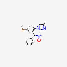 CSc1ccc2c(c1)C(c1ccccc1)=[N+]([O-])Cc1nc(C)cn1-2